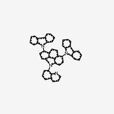 c1cnc2c(-n3c4ccc(-n5c6ccccc6c6ccccc65)c5ccc6c(-n7c8ccccc8c8ccccc87)ccc3c6c54)cccc2c1